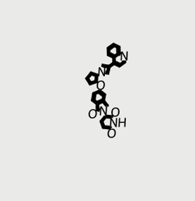 O=C1CCC(N2Cc3cc(O[C@@H]4CCC[C@@H]4N4CC(c5ccnc6ccccc56)C4)ccc3C2=O)C(=O)N1